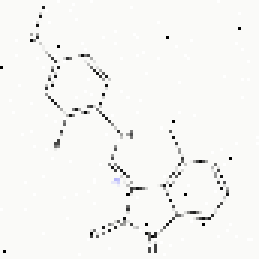 COc1ccc(N/C=C2/C(=O)Nc3cccc(C)c32)c(F)c1